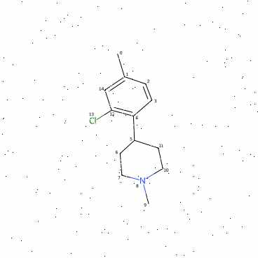 Cc1ccc(C2CCN(C)CC2)c(Cl)c1